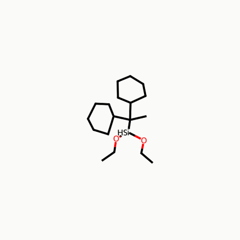 CCO[SiH](OCC)C(C)(C1CCCCC1)C1CCCCC1